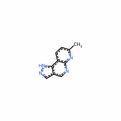 Cc1ccc2c(ncc3cn[nH]c32)n1